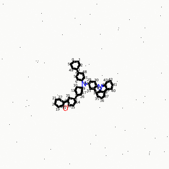 c1ccc(-c2ccc(N(c3ccc(-c4ccc5oc6ccccc6c5c4)cc3)c3ccc4c(c3)c3cccc5c6ccccc6n4c53)cc2)cc1